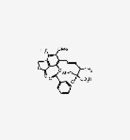 COc1c(C)c2c(c(OC(=O)c3ccccc3)c1C/C=C/C(C)[C@](Cl)(OC)C(=O)O)C(=O)OC2